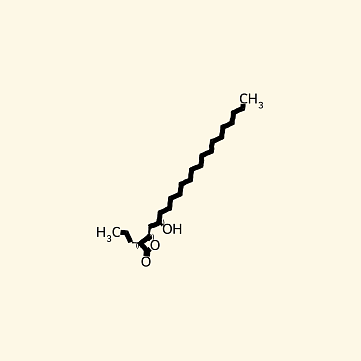 CCCCCCCCCCCCCCCCC[C@@H](O)C[C@H]1OC(=O)[C@@H]1CCC